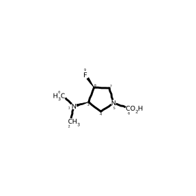 CN(C)[C@@H]1CN(C(=O)O)C[C@@H]1F